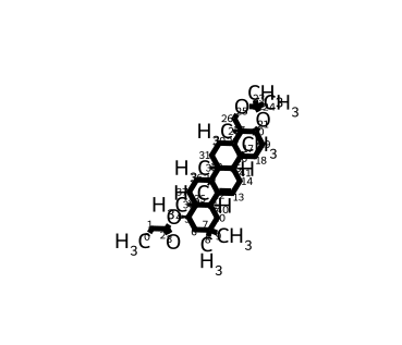 CCC(=O)O[C@@H]1CC(C)(C)C[C@@H]2C3=CC[C@@H]4[C@@]5(C)CCC6OC(C)(C)OC[C@@]6(C)C5CC[C@@]4(C)[C@]3(C)CC[C@]21C